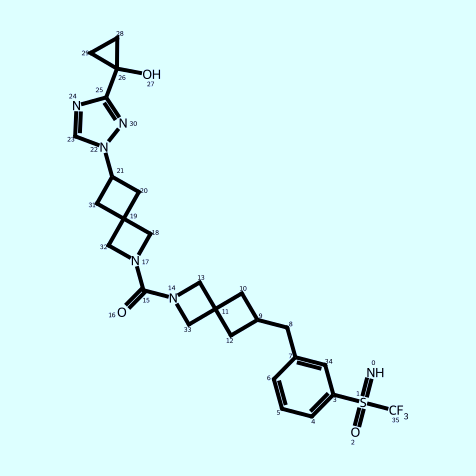 N=S(=O)(c1cccc(CC2CC3(C2)CN(C(=O)N2CC4(CC(n5cnc(C6(O)CC6)n5)C4)C2)C3)c1)C(F)(F)F